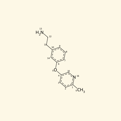 Cc1ccc(Oc2cccc(CCN)c2)cn1